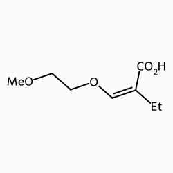 CCC(=COCCOC)C(=O)O